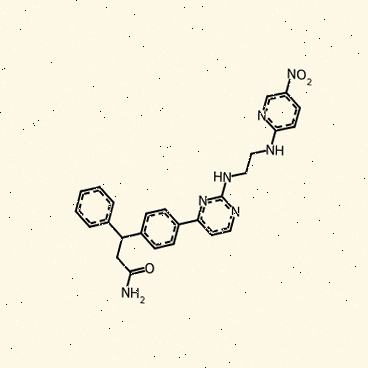 NC(=O)CC(c1ccccc1)c1ccc(-c2ccnc(NCCNc3ccc([N+](=O)[O-])cn3)n2)cc1